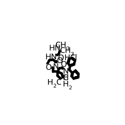 C=CCC1(CC=C)CC2OCC[C@H](NC(=O)C(C)NC)C(=O)N2C1C(=O)NC(c1ccccc1)c1ccccc1.Cl